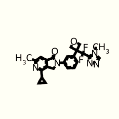 Cc1cc2c(c(C3CC3)n1)CN(c1cccc(C3(C(F)(F)c4nncn4C)COC3)c1)C2=O